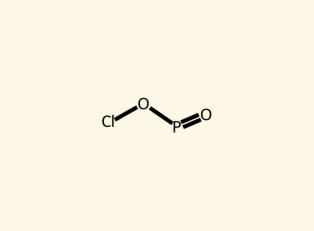 O=POCl